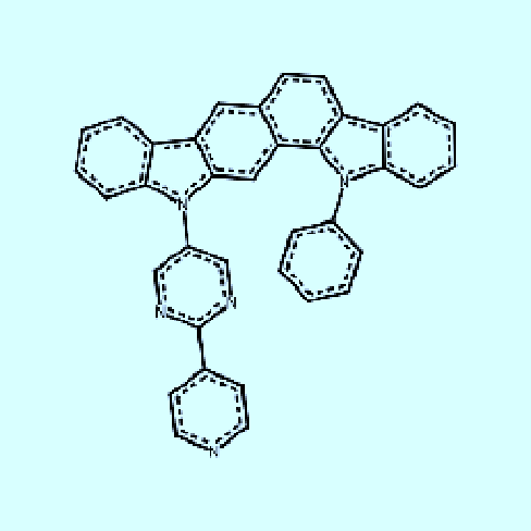 c1ccc(-n2c3ccccc3c3ccc4cc5c6ccccc6n(-c6cnc(-c7ccncc7)nc6)c5cc4c32)cc1